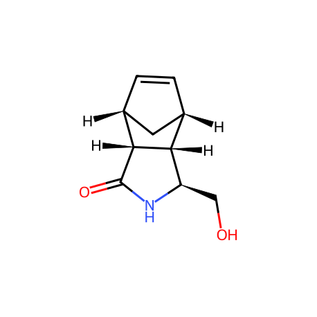 O=C1N[C@H](CO)[C@@H]2[C@H]1[C@@H]1C=C[C@H]2C1